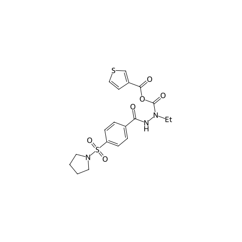 CCN(NC(=O)c1ccc(S(=O)(=O)N2CCCC2)cc1)C(=O)OC(=O)c1ccsc1